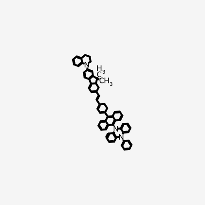 CC1(C)c2cc(N3CCCc4ccccc43)ccc2C2=CC=C(/C=C/C3=CC=C(c4c5ccccc5c(N5c6c#cccc6N(c6ccccc6)c6ccccc65)c5ccccc45)CC3)CC21